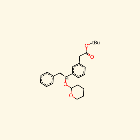 CC(C)(C)OC(=O)Cc1cccc([C@H](Cc2ccccc2)OC2CCCCO2)c1